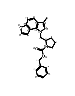 Cc1nn(CC2CCCN2C(=O)OCc2ccccc2)c2c1ccc1occc12